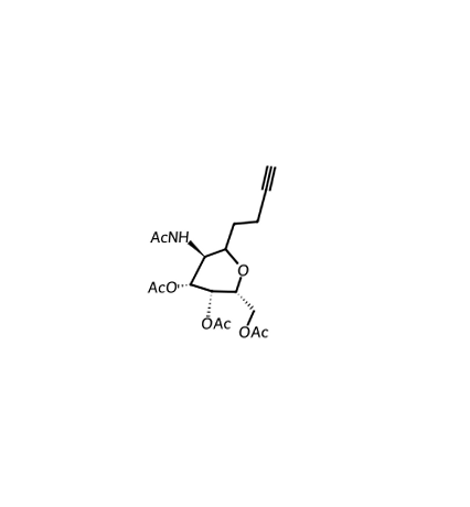 C#CCCC1O[C@H](COC(C)=O)[C@H](OC(C)=O)[C@H](OC(C)=O)[C@H]1NC(C)=O